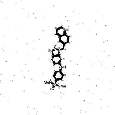 CNP(=O)(NC)c1ccc(Nc2cnc3nnn(Cc4ccc5ncccc5c4)c3n2)cc1